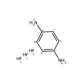 F.F.F.Nc1ccc(N)cc1